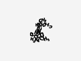 Cc1cc(C)c(CNC(=O)c2cc(Cl)cc(N)c2C)c(=O)[nH]1